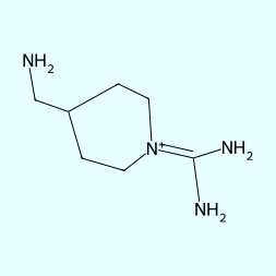 NCC1CC[N+](=C(N)N)CC1